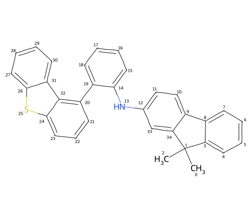 CC1(C)c2ccccc2-c2ccc(Nc3ccccc3-c3cccc4sc5ccccc5c34)cc21